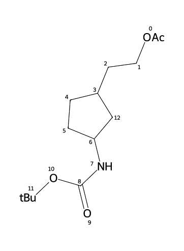 CC(=O)OCCC1CCC(NC(=O)OC(C)(C)C)C1